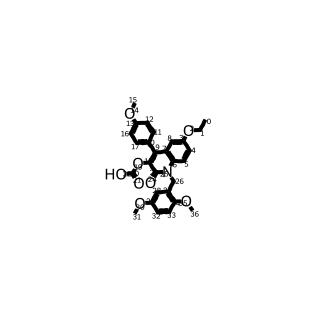 CCOc1ccc2c(c1)c(-c1ccc(OC)cc1)c(OC(=O)O)c(=O)n2Cc1cc(OC)ccc1OC